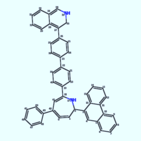 C1=CC(c2cc3ccccc3c3ccccc23)NC(c2ccc(-c3ccc(C4=c5ccccc5=CNC4)cc3)cc2)=CC=1c1ccccc1